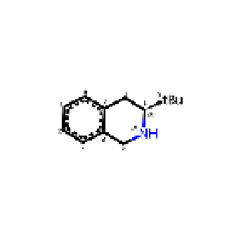 CC(C)(C)[C@@H]1Cc2ccccc2CN1